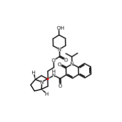 CC(C)n1c(=O)c(C(=O)N[C@@H]2C[C@H]3CC[C@@H](C2)N3CCCOC(=O)N2CCC(O)CC2)cc2ccccc21